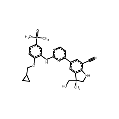 C[C@]1(CO)CNc2c(C#N)cc(-c3ccnc(Nc4cc(P(C)(C)=O)ccc4OCC4CC4)n3)cc21